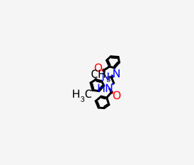 Cc1ccc(-n2c(CNC(=O)c3ccccc3)nc3ccccc3c2=O)c(C)c1